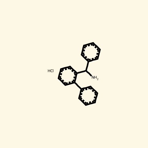 Cl.NC(c1ccccc1)c1ccccc1-c1ccccc1